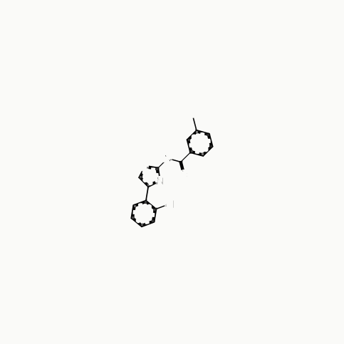 Cc1cccc(C(=O)Nc2nc(-c3ccccc3Cl)cs2)c1